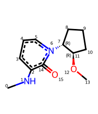 CNc1cccn([C@@H]2CCC[C@H]2OC)c1=O